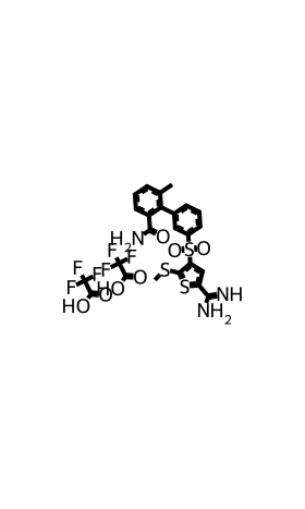 CSc1sc(C(=N)N)cc1S(=O)(=O)c1cccc(-c2c(C)cccc2C(N)=O)c1.O=C(O)C(F)(F)F.O=C(O)C(F)(F)F